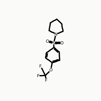 O=S(=O)(c1ccc(OC(F)(F)F)cc1)N1CCCCC1